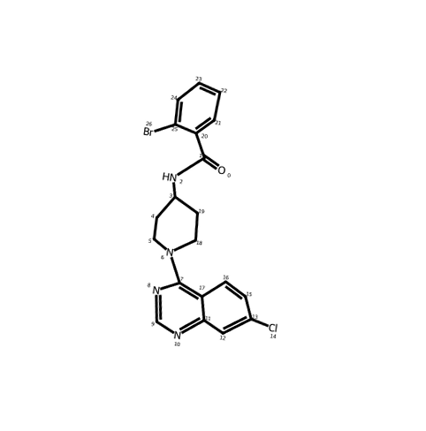 O=C(NC1CCN(c2ncnc3cc(Cl)ccc23)CC1)c1ccccc1Br